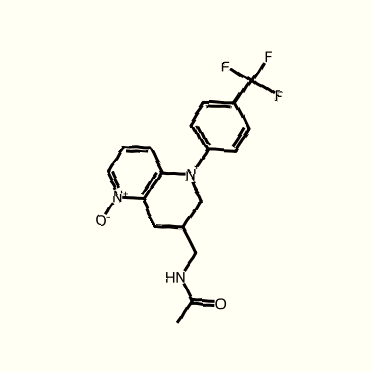 CC(=O)NCC1Cc2c(ccc[n+]2[O-])N(c2ccc(C(F)(F)F)cc2)C1